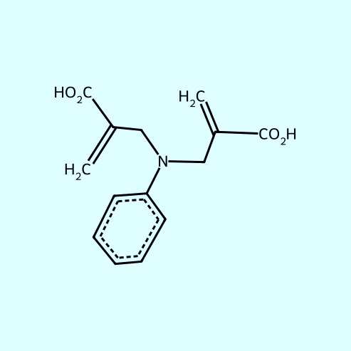 C=C(CN(CC(=C)C(=O)O)c1ccccc1)C(=O)O